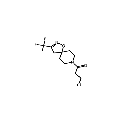 O=C(CCCl)N1CCC2(CC1)CC(C(F)(F)F)=NO2